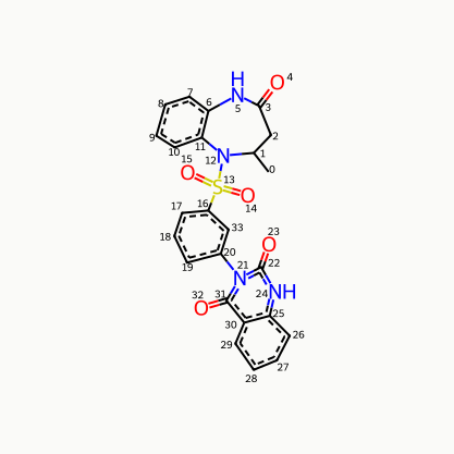 CC1CC(=O)Nc2ccccc2N1S(=O)(=O)c1cccc(-n2c(=O)[nH]c3ccccc3c2=O)c1